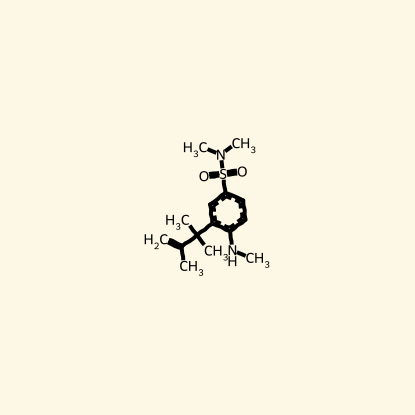 C=C(C)C(C)(C)c1cc(S(=O)(=O)N(C)C)ccc1NC